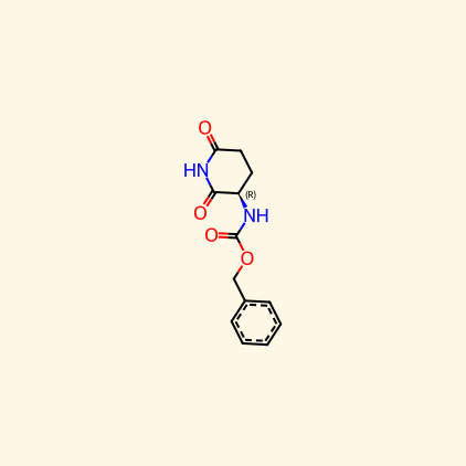 O=C1CC[C@@H](NC(=O)OCc2ccccc2)C(=O)N1